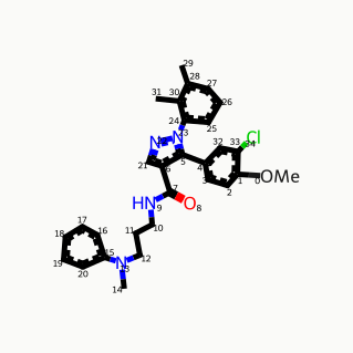 COc1ccc(-c2c(C(=O)NCCCN(C)c3ccccc3)cnn2-c2cccc(C)c2C)cc1Cl